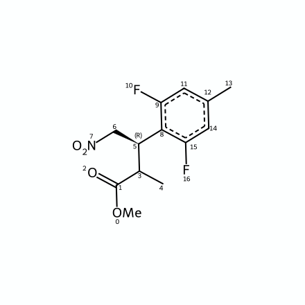 COC(=O)C(C)[C@@H](C[N+](=O)[O-])c1c(F)cc(C)cc1F